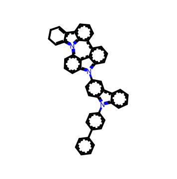 C1=c2c(n3c4cccc5c4c4c(cccc4n5-c4ccc5c(c4)c4ccccc4n5-c4ccc(-c5ccccc5)cc4)c4cccc2c43)=CCC1